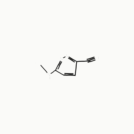 C#Cc1ccc(NC)nn1